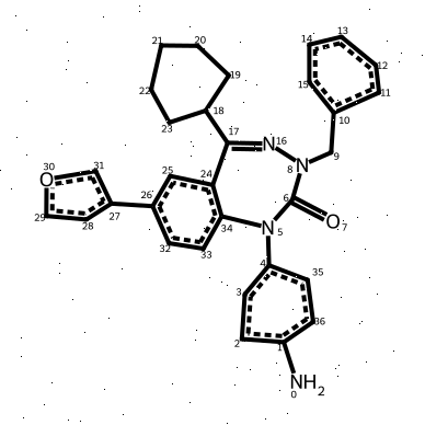 Nc1ccc(N2C(=O)N(Cc3ccccc3)N=C(C3CCCCC3)c3cc(-c4ccoc4)ccc32)cc1